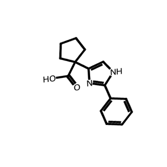 O=C(O)C1(c2c[nH]c(-c3ccccc3)n2)CCCC1